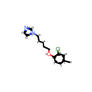 Cc1ccc(OCCCCCn2ccnc2)c(Cl)c1